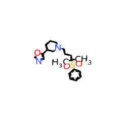 CC(C)(CCCN1CCCC(c2cnco2)C1)S(=O)(=O)c1ccccc1